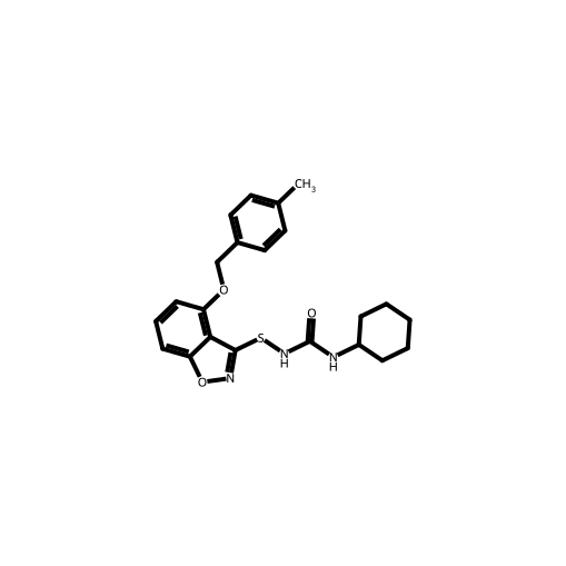 Cc1ccc(COc2cccc3onc(SNC(=O)NC4CCCCC4)c23)cc1